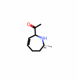 CC(=O)C1C=CCC[C@@H](C)N1